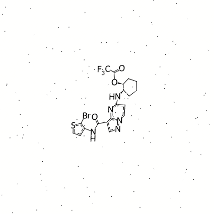 O=C(Nc1ccsc1Br)c1cnn2ccc(N[C@@H]3CCCC[C@@H]3OC(=O)C(F)(F)F)nc12